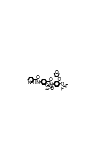 CCS(=O)(=O)N(C(=O)c1ccc(NC(=O)c2cccnc2)cc1)c1ccc(OC(F)F)c(O[C@@H]2CCOC2)c1